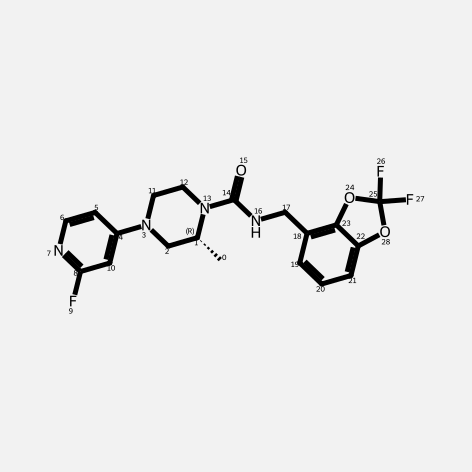 C[C@@H]1CN(c2ccnc(F)c2)CCN1C(=O)NCc1cccc2c1OC(F)(F)O2